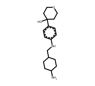 NC1CCC(CNc2ccc(C3(O)CCOCC3)cc2)CC1